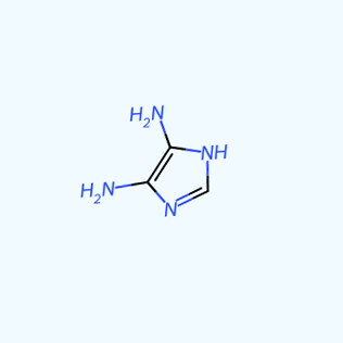 Nc1nc[nH]c1N